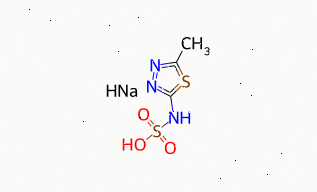 Cc1nnc(NS(=O)(=O)O)s1.[NaH]